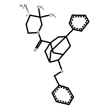 CC1(C)CN(C(=O)C23CC4CC(c5ccccc5)(CC(C2)C4SCc2ccccc2)C3)CC[C@@H]1N